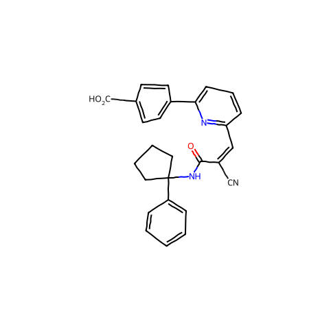 N#CC(=Cc1cccc(-c2ccc(C(=O)O)cc2)n1)C(=O)NC1(c2ccccc2)CCCC1